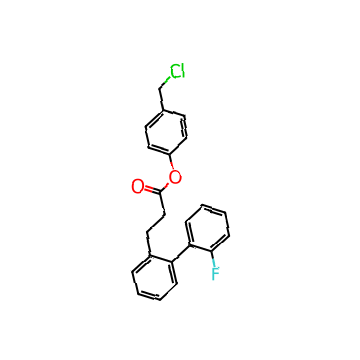 O=C(CCc1ccccc1-c1ccccc1F)Oc1ccc(CCl)cc1